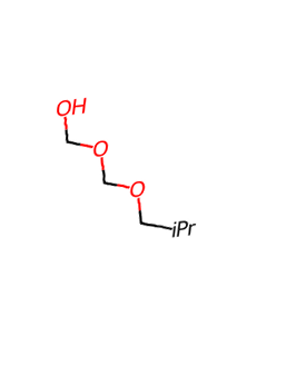 CC(C)COCOCO